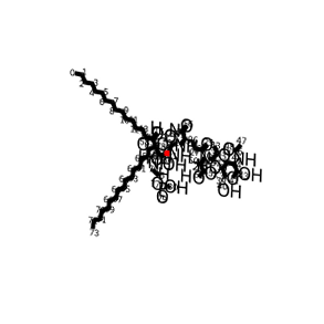 CCCCCCCCCCCCCCCC(=O)[C@@](O[C@@](C)(N)C(=O)N[C@H](CCC(=O)N(CC(C)O[C@H]1[C@H](O)[C@@H](CO)O[C@H](O)[C@@H]1NC(C)=O)[C@@H](C)C(=O)O)C(N)=O)(C(=O)C(CCCCCCCCCCCCCC)NCCO[PH](=O)O)[C@@H](O)CO